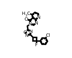 Cc1ccnc2ncn(Cc3nc(C4CC(F)(c5cccc(Cl)c5)C4)no3)c(=O)c12